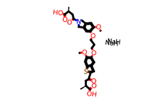 COc1cc2c(cc1OCCCOc1cc3cc(C(=O)C[C@H](C)C(=O)O)sc3cc1OC)CN(C(=O)C[C@H](C)C(=O)O)C2.[NaH].[NaH]